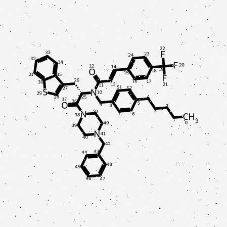 CCCCCc1ccc(CN(C(=O)/C=C/c2ccc(C(F)(F)F)cc2)[C@@H](Cc2csc3ccccc23)C(=O)N2CCN(Cc3ccccc3)CC2)cc1